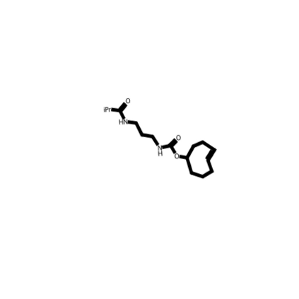 CC(C)C(=O)NCCCNC(=O)OC1CC/C=C/CCC1